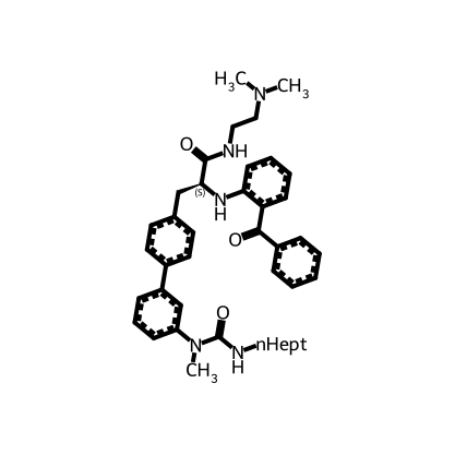 CCCCCCCNC(=O)N(C)c1cccc(-c2ccc(C[C@H](Nc3ccccc3C(=O)c3ccccc3)C(=O)NCCN(C)C)cc2)c1